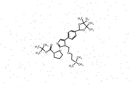 CC(C)(C)OC(=O)N1CCC[C@H]1c1ncc(-c2ccc(C3OC(C)(C)C(C)(C)O3)cc2)n1COCC[Si](C)(C)C